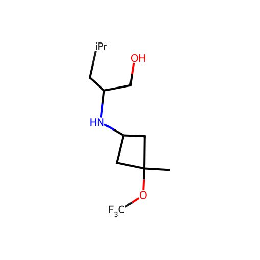 CC(C)CC(CO)NC1CC(C)(OC(F)(F)F)C1